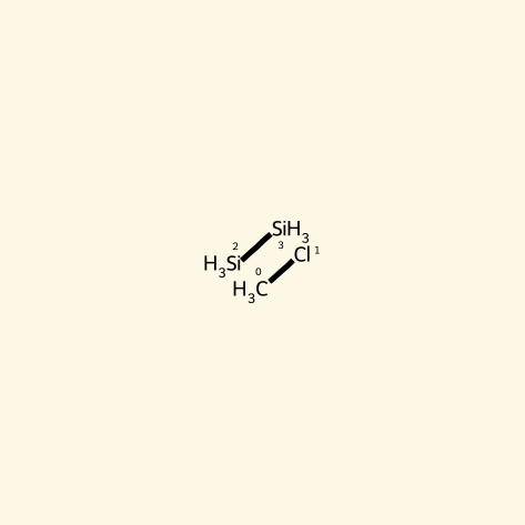 CCl.[SiH3][SiH3]